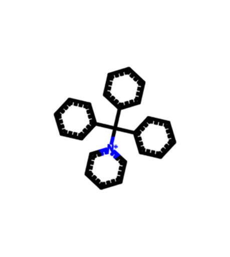 c1ccc(C(c2ccccc2)(c2ccccc2)[n+]2ccccc2)cc1